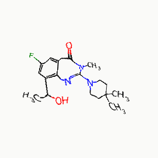 CC(O)c1cc(F)cc2c(=O)n(C)c(N3CCC(C)(C)CC3)nc12